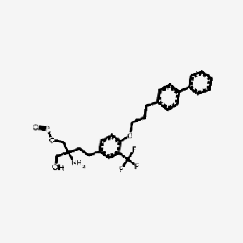 NC(CO)(CCc1ccc(OCCCc2ccc(-c3ccccc3)cc2)c(C(F)(F)F)c1)COP=O